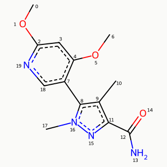 COc1cc(OC)c(-c2c(C)c(C(N)=O)nn2C)cn1